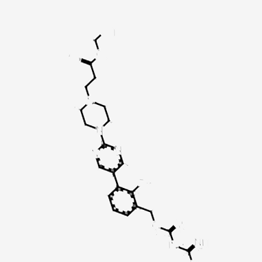 CCOC(=O)CCN1CCN(c2ncc(-c3cccc(COC(=O)NC(=N)N)c3F)cn2)CC1